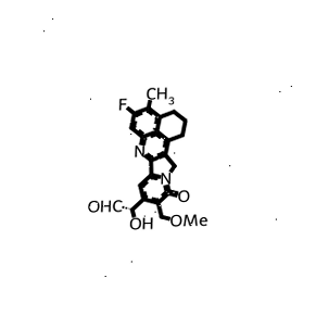 COCc1c([C@H](O)C=O)cc2n(c1=O)Cc1c-2nc2cc(F)c(C)c3c2c1CCC3